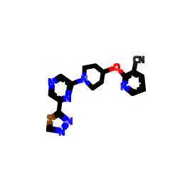 N#Cc1cccnc1OC1CCN(c2cncc(-c3nncs3)n2)CC1